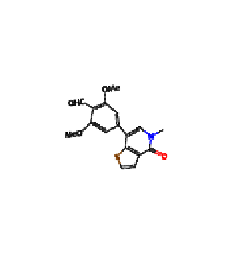 COc1cc(-c2cn(C)c(=O)c3ccsc23)cc(OC)c1C=O